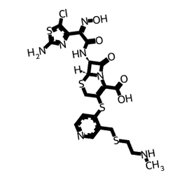 CNCCSCc1cnccc1SC1=C(C(=O)O)N2C(=O)[C@@H](NC(=O)/C(=N\O)c3nc(N)sc3Cl)[C@@H]2SC1